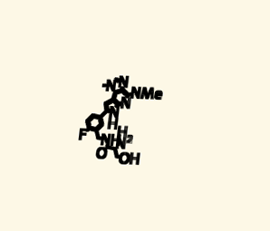 CNc1nc2[nH]c(-c3ccc(F)c(CNC(=O)[C@@H](N)CO)c3)cc2c2c1ncn2C